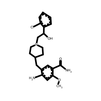 COc1cc(N)c(CC2CCN(CC(O)c3ccccc3Cl)CC2)cc1C(N)=O